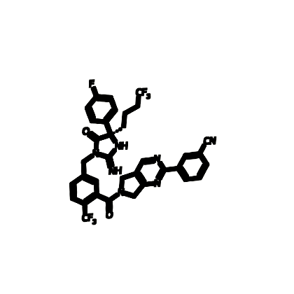 N#Cc1cccc(-c2ncc3c(n2)CN(C(=O)c2cc(CN4C(=N)N[C@](CCCC(F)(F)F)(c5ccc(F)cc5)C4=O)ccc2C(F)(F)F)C3)c1